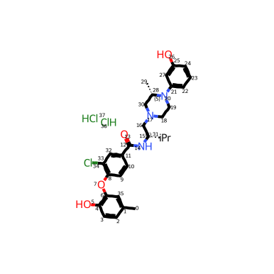 Cc1ccc(O)c(Oc2ccc(C(=O)N[C@H](CN3CCN(c4cccc(O)c4)[C@@H](C)C3)C(C)C)cc2Cl)c1.Cl.Cl